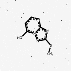 CSc1nc2nccc(O)n2n1